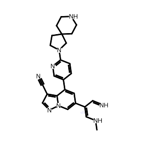 CN/C=C(\C=N)c1cc(-c2ccc(N3CCC4(CCNCC4)C3)nc2)c2c(C#N)cnn2c1